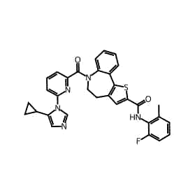 Cc1cccc(F)c1NC(=O)c1cc2c(s1)-c1ccccc1N(C(=O)c1cccc(-n3cncc3C3CC3)n1)CC2